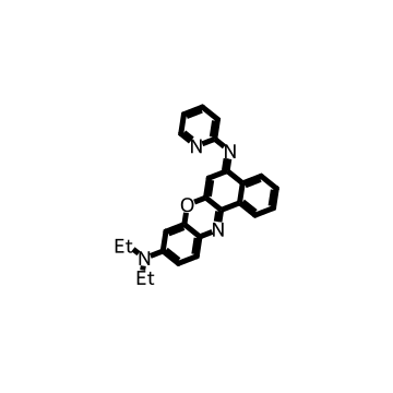 CCN(CC)c1ccc2nc3c4ccccc4c(=Nc4ccccn4)cc-3oc2c1